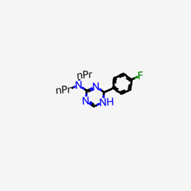 CCCN(CCC)C1=NC(c2ccc(F)cc2)NC=N1